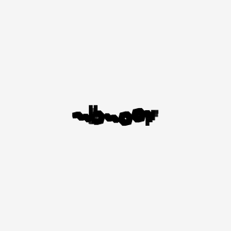 CCCCC[Si@H]1CC[C@H](CCCC[C@H]2CC[C@H](c3ccc(C=C(F)F)cc3)CC2)CC1